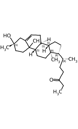 CCC(=O)CC[C@@H](C)[C@H]1CC[C@H]2[C@@H]3CC=C4C[C@@](C)(O)CCC4(C)[C@H]3CC[C@]12C